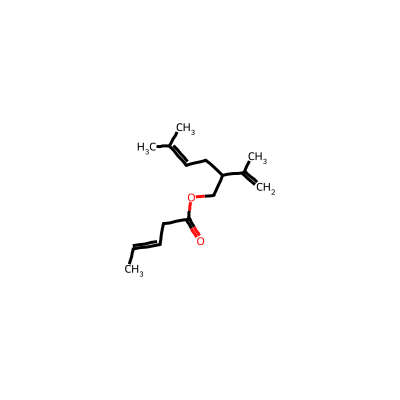 C=C(C)C(CC=C(C)C)COC(=O)CC=CC